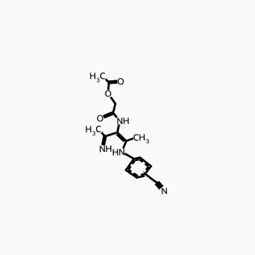 CC(=N)/C(NC(=O)COC(C)=O)=C(/C)Nc1ccc(C#N)cc1